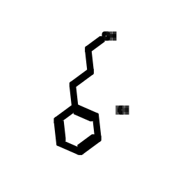 OCCCc1ccccc1.[KH]